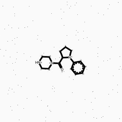 O=C(C1CCCN1c1ccccc1)N1CCNCC1